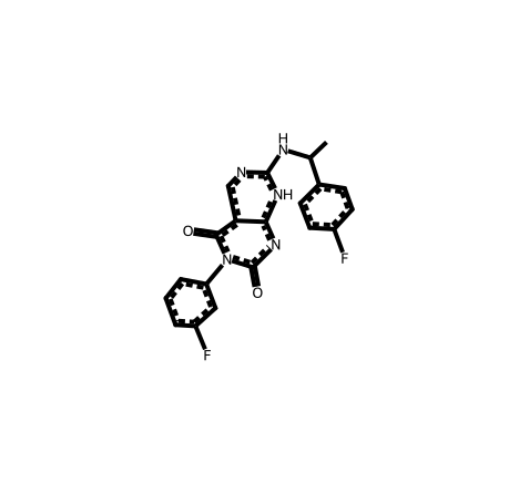 CC(Nc1ncc2c(=O)n(-c3cccc(F)c3)c(=O)nc-2[nH]1)c1ccc(F)cc1